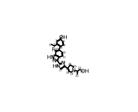 CCc1cc(O)ccc1-c1ccc2c(-c3nc(C4=CCN(C(C)CO)CC4)c[nH]3)n[nH]c2c1F